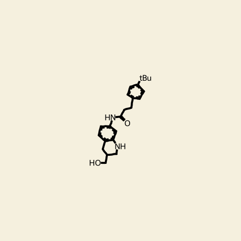 CC(C)(C)c1ccc(CCC(=O)Nc2ccc3c(c2)NCC(CO)C3)cc1